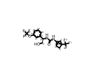 O=C(NC1CC2(C(F)(F)F)CC1C2)N[C@@H](CO)c1cccc(OC(F)(F)F)c1